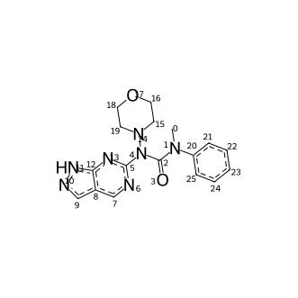 CN(C(=O)N(c1ncc2cn[nH]c2n1)N1CCOCC1)c1ccccc1